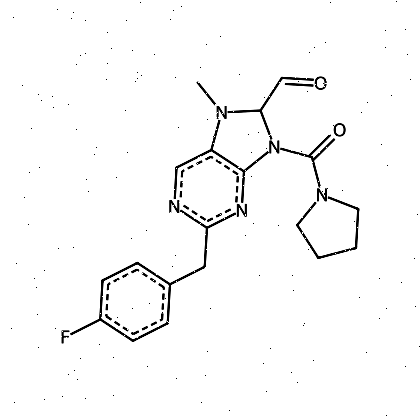 CN1c2cnc(Cc3ccc(F)cc3)nc2N(C(=O)N2CCCC2)C1C=O